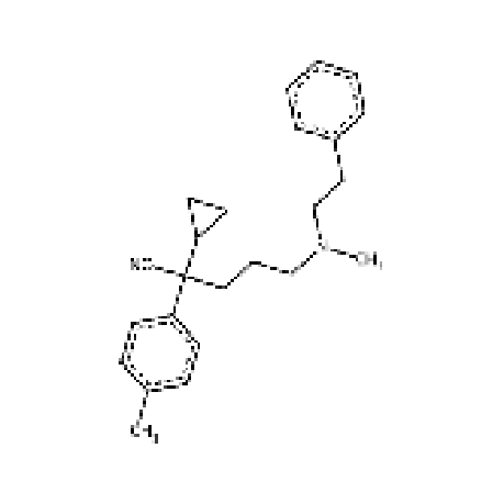 Cc1ccc(C(C#N)(CCCN(C)CCc2ccccc2)C2CC2)cc1